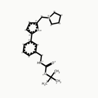 CC(C)(C)OC(=O)NCc1cccc(-c2ccc(CN3CCCC3)s2)c1